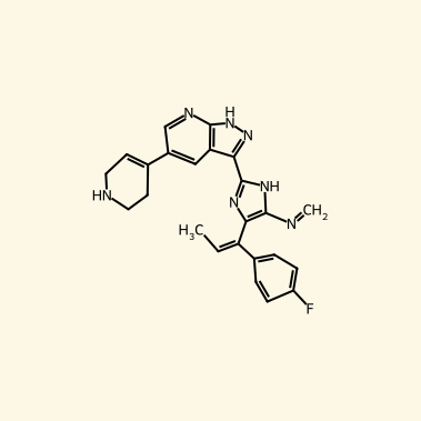 C=Nc1[nH]c(-c2n[nH]c3ncc(C4=CCNCC4)cc23)nc1/C(=C\C)c1ccc(F)cc1